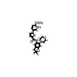 COC1C=CC(n2ccc(C(=O)Nc3cc4c(cc3N3CCOCC3)OC(C)(C)C4)n2)=CN1